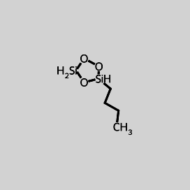 CCCC[SiH]1OO[SiH2]O1